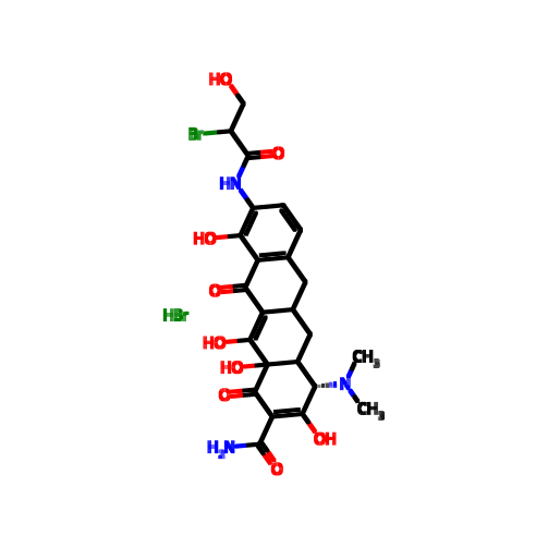 Br.CN(C)[C@@H]1C(O)=C(C(N)=O)C(=O)C2(O)C(O)=C3C(=O)c4c(ccc(NC(=O)C(Br)CO)c4O)CC3CC12